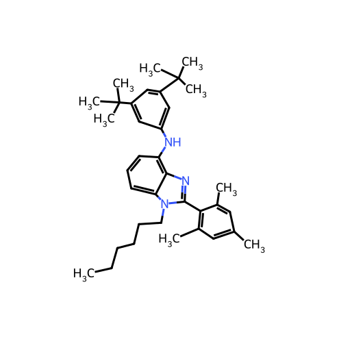 CCCCCCn1c(-c2c(C)cc(C)cc2C)nc2c(Nc3cc(C(C)(C)C)cc(C(C)(C)C)c3)cccc21